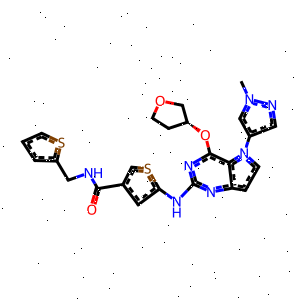 Cn1cc(-n2ccc3nc(Nc4cc(C(=O)NCc5cccs5)cs4)nc(O[C@H]4CCOC4)c32)cn1